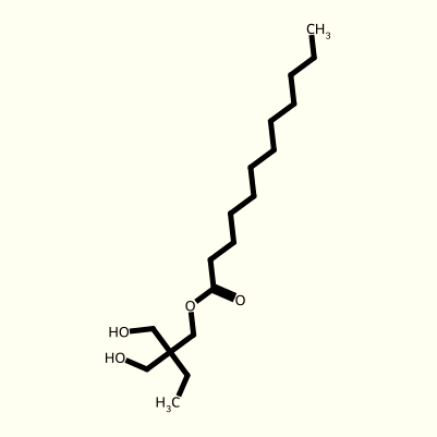 CCCCCCCCCCCC(=O)OCC(CC)(CO)CO